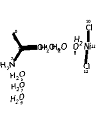 CC(N)=O.O.O.O.O.O.O.[Cl][Ni][Cl]